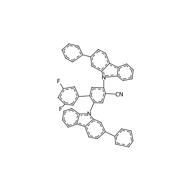 N#Cc1cc(-n2c3ccccc3c3ccc(-c4ccccc4)cc32)c(-c2cc(F)cc(F)c2)cc1-n1c2ccccc2c2ccc(-c3ccccc3)cc21